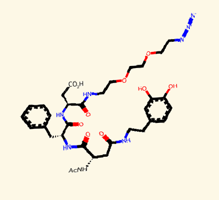 CC(=O)N[C@@H](CC(=O)NCCc1ccc(O)c(O)c1)C(=O)N[C@H](Cc1ccccc1)C(=O)N[C@@H](CC(=O)O)C(=O)NCCOCCOCCN=[N+]=[N-]